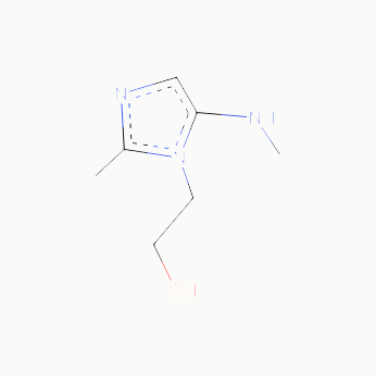 CNc1cnc(C)n1CCO